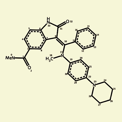 CNC(=O)c1ccc2c(c1)C(=C(c1ccccc1)N(C)c1ccc(N3CCCCC3)cc1)C(=O)N2